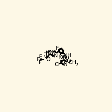 COc1ncc(Cl)cc1S(=O)(=O)Nc1ccc(F)c(-c2cn3cnc(C(=O)NCC(F)(F)F)c3cn2)c1F